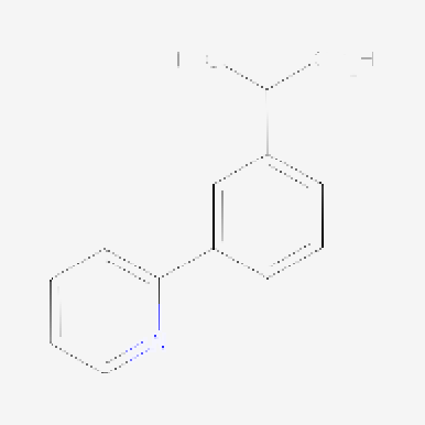 CC(C(=O)O)c1cccc(-c2ccccn2)c1